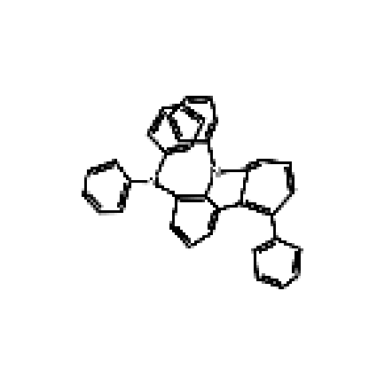 c1ccc(-c2cccc3c2c2cccc(N(c4ccccc4)c4ccccc4)c2n3-c2ccccc2)cc1